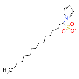 CCCCCCCCCCCCCCCC([n+]1ccccc1)S(=O)(=O)[O-]